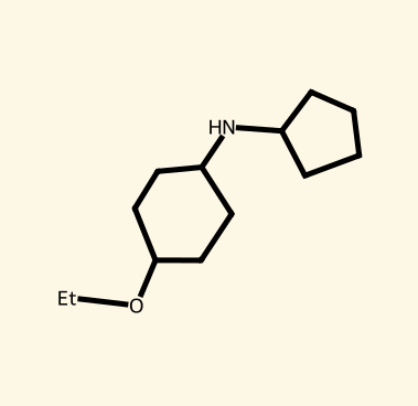 CCOC1CCC(NC2CCCC2)CC1